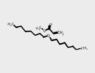 C=CC(=O)OC.CCCCCCCCOCCCCCCCC